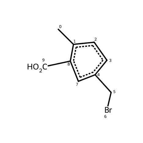 Cc1ccc(CBr)cc1C(=O)O